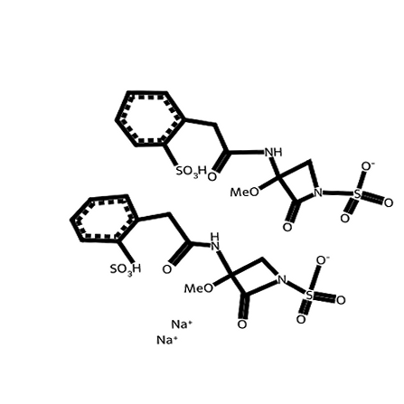 COC1(NC(=O)Cc2ccccc2S(=O)(=O)O)CN(S(=O)(=O)[O-])C1=O.COC1(NC(=O)Cc2ccccc2S(=O)(=O)O)CN(S(=O)(=O)[O-])C1=O.[Na+].[Na+]